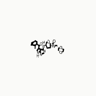 Cc1ccccc1C(=O)c1c[nH]c2ncnc(N[C@@H]3CC[C@@H](C(=O)NC[C@H]4COCCO4)OC3)c12